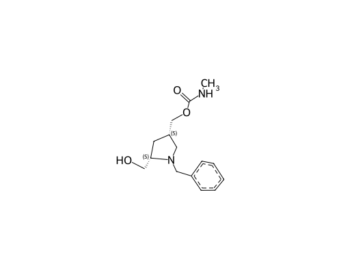 CNC(=O)OC[C@H]1C[C@@H](CO)N(Cc2ccccc2)C1